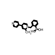 CC1C=C(c2ccncc2)C=CN1Cc1ccccc1B(O)O